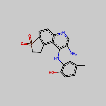 Cc1ccc(O)c(Nc2c(N)cnc3ccc4c(c23)CCS4(=O)=O)c1